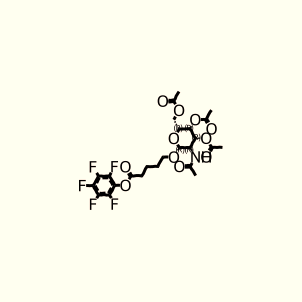 CC(=O)N[C@H]1[C@H](OCCCCC(=O)Oc2c(F)c(F)c(F)c(F)c2F)O[C@H](COC(C)=O)[C@H](OC(C)=O)[C@@H]1OC(C)=O